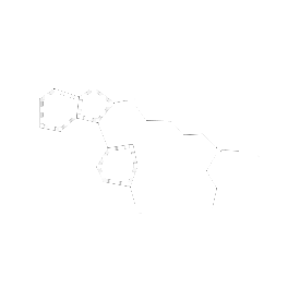 CN(CCO)CCCCOc1sc2ccccc2c1-c1ccc(Br)cc1